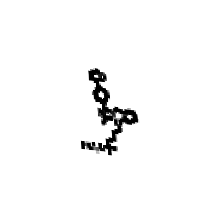 Cc1cn(Cc2ccccc2OCCCCC(C)(C)C(=O)O)c(-c2ccc(-c3ccco3)cc2)n1